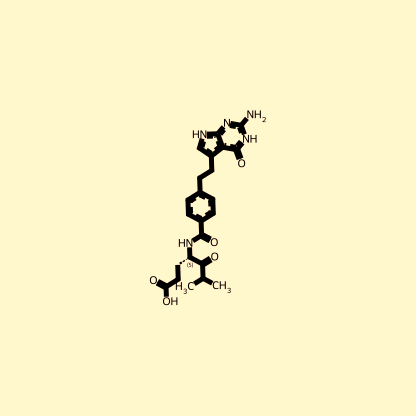 CC(C)C(=O)[C@H](CCC(=O)O)NC(=O)c1ccc(CCc2c[nH]c3nc(N)[nH]c(=O)c23)cc1